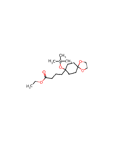 CCOC(=O)CCCC1(O[Si](C)(C)C)CCC2(CC1)OCCO2